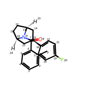 Cc1ccccc1C(=O)N1[C@@H]2CC[C@H]1C[C@@H](c1ccc(F)cc1)C2